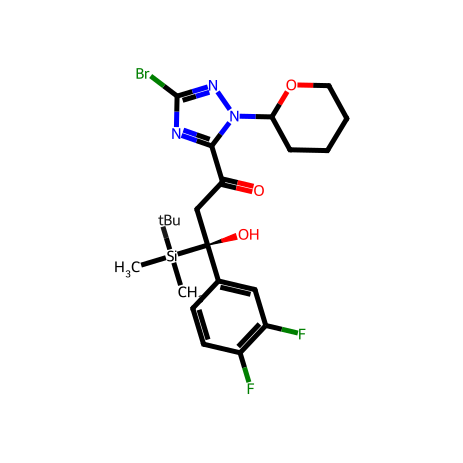 CC(C)(C)[Si](C)(C)[C@](O)(CC(=O)c1nc(Br)nn1C1CCCCO1)c1ccc(F)c(F)c1